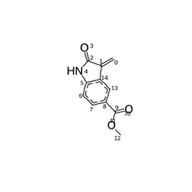 C=C1C(=O)Nc2ccc(C(=O)OC)cc21